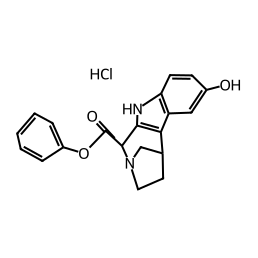 Cl.O=C(Oc1ccccc1)C1c2[nH]c3ccc(O)cc3c2C2CCN1C2